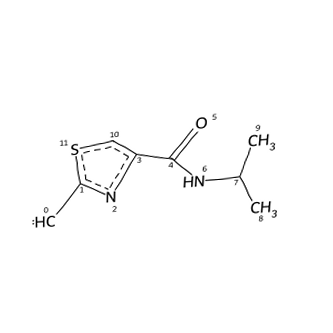 [CH]c1nc(C(=O)NC(C)C)cs1